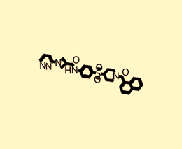 O=C(Nc1ccc(S(=O)(=O)C2CCN(C(=O)c3cccc4ccccc34)CC2)cc1)C1CN(c2cccnn2)C1